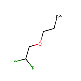 CCCCCOCC(F)F